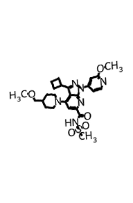 COCC1CCN(c2cc(C(=O)NS(C)(=O)=O)nc3c2c(C2CCC2)nn3-c2ccnc(OC)c2)CC1